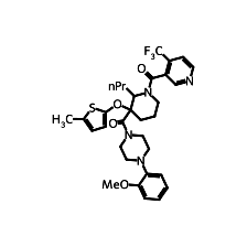 CCCC1N(C(=O)c2cnccc2C(F)(F)F)CCCC1(Oc1ccc(C)s1)C(=O)N1CCN(c2ccccc2OC)CC1